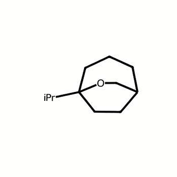 CC(C)C12CCCC(CC1)CO2